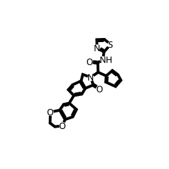 O=C(Nc1nccs1)C(c1ccccc1)N1Cc2ccc(-c3ccc4c(c3)OCCO4)cc2C1=O